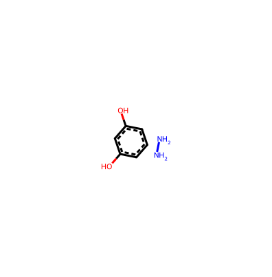 NN.Oc1cccc(O)c1